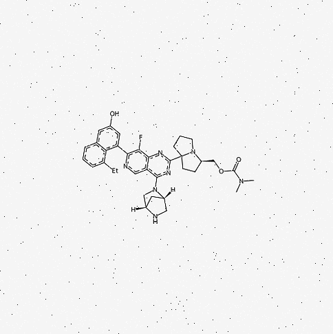 CCc1cccc2cc(O)cc(-c3ncc4c(N5C[C@@H]6C[C@H]5CN6)nc(C56CCCN5[C@@H](COC(=O)N(C)C)CC6)nc4c3F)c12